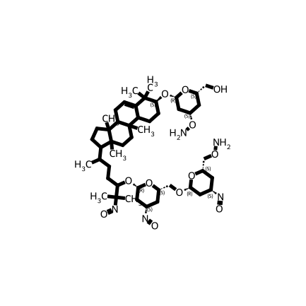 CC(CCC(O[C@H]1C[C@@H](N=O)C[C@@H](CO[C@H]2C[C@@H](N=O)C[C@@H](CON)O2)O1)C(C)(C)N=O)C1CCC2(C)C3CC=C4C(CC[C@H](O[C@H]5C[C@@H](ON)C[C@@H](CO)O5)C4(C)C)C3(C)CCC12C